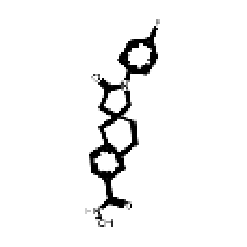 O=C(NO)c1ccc2c(c1)CC[C@]1(CC(=O)N(c3ccc(F)cc3)C1)C2